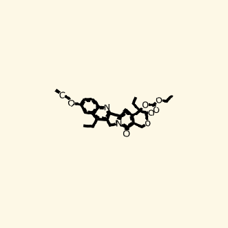 CCCOc1ccc2nc3c(c(CC)c2c1)Cn1c-3cc2c(c1=O)COC(=O)C2(CC)OC(=O)OCC